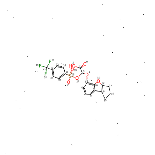 O=C(O)C(Oc1cccc2c1OC1CCCC21)OS(=O)(=O)c1ccc(C(F)(F)F)cc1